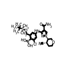 CC(C)(C)[Si](C)(C)OCc1cc(Nc2nn([C@H]3COCC[C@@H]3C#N)cc2C(N)=O)cc(Cl)c1B(O)O